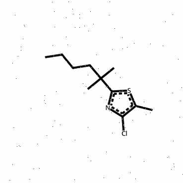 CCCCC(C)(C)c1nc(Cl)c(C)s1